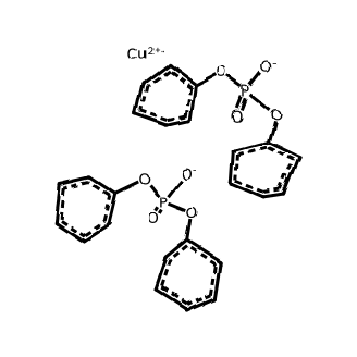 O=P([O-])(Oc1ccccc1)Oc1ccccc1.O=P([O-])(Oc1ccccc1)Oc1ccccc1.[Cu+2]